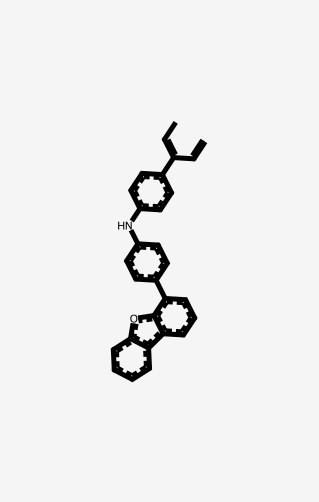 C=C/C(=C\C)c1ccc(Nc2ccc(-c3cccc4c3oc3ccccc34)cc2)cc1